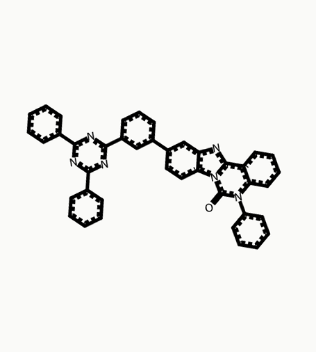 O=c1n(-c2ccccc2)c2ccccc2c2nc3cc(-c4cccc(-c5nc(-c6ccccc6)nc(-c6ccccc6)n5)c4)ccc3n12